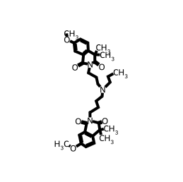 CCCN(CCCCN1C(=O)c2cc(OC)ccc2C(C)(C)C1=O)CCCN1C(=O)c2cc(OC)ccc2C(C)(C)C1=O